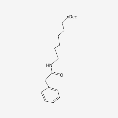 CCCCCCCCCCCCCCCCNC(=O)Cc1ccccc1